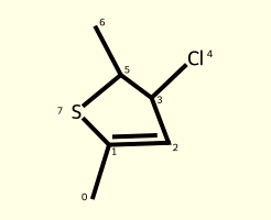 CC1=CC(Cl)C(C)S1